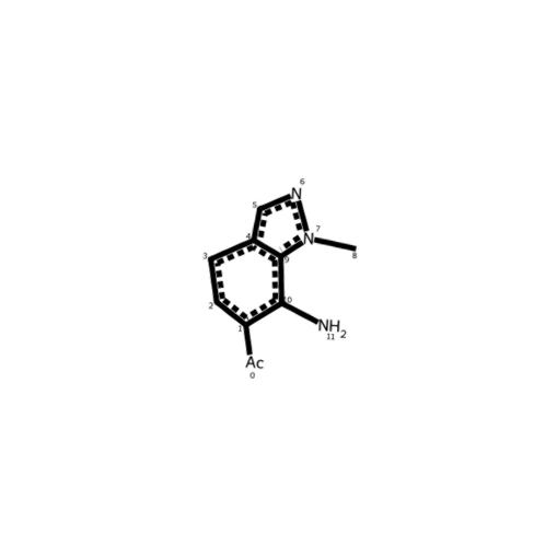 CC(=O)c1ccc2cnn(C)c2c1N